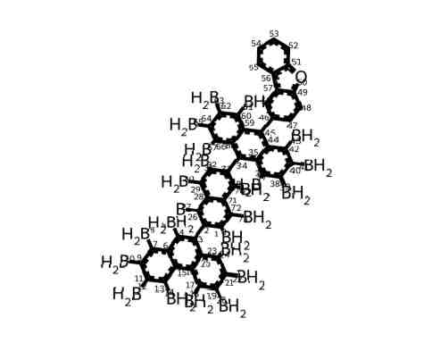 Bc1c(-c2c(B)c3c(B)c(B)c(B)c(B)c3c3c(B)c(B)c(B)c(B)c23)c(B)c2c(B)c(B)c(-c3c4c(B)c(B)c(B)c(B)c4c(-c4ccc5oc6ccccc6c5c4)c4c(B)c(B)c(B)c(B)c34)c(B)c2c1B